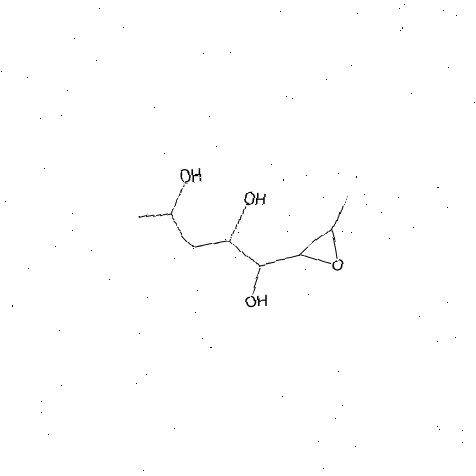 CC(O)CC(O)C(O)C1OC1C